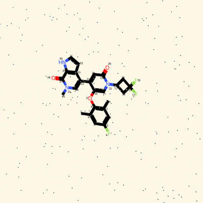 Cc1cc(F)cc(C)c1Oc1cn(C2CC(F)(F)C2)c(=O)cc1-c1cn(C)c(=O)c2[nH]ccc12